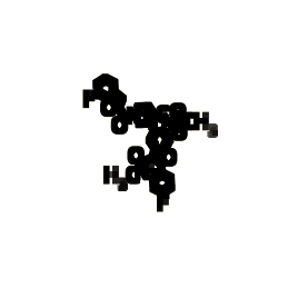 CNC(=O)c1c(-c2ccc(F)cc2)oc2cc(N(C)S(C)(=O)=O)c([C@H]3CCCN(C(=O)c4cc5cccc(F)c5o4)C3)cc12